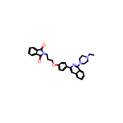 CCN1CCN(c2nc(-c3ccc(OCCCN4C(=O)c5ccccc5C4=O)cc3)cc3ccccc23)CC1